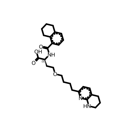 O=C(N[C@@H](CCOCCCCc1ccc2c(n1)NCCC2)C(=O)O)c1cccc2c1CCCC2